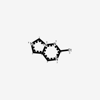 CCc1ncc2cncn2n1